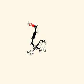 C[Si](C)(C)CC#CC=O